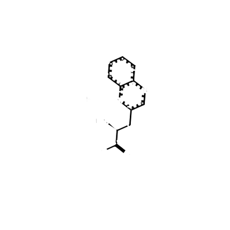 Cl.N[C@@H](Cc1cnc2ccccc2n1)C(=O)O